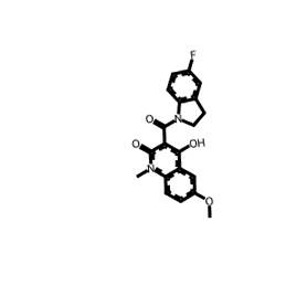 COc1ccc2c(c1)c(O)c(C(=O)N1CCc3cc(F)ccc31)c(=O)n2C